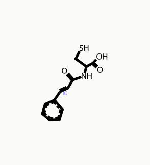 O=C(/C=C/c1ccccc1)NC(CS)C(=O)O